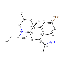 CCCN1CC(C)=C[C@@H]2c3cc(Br)cc4[nH]c(C)c(c34)C[C@H]21